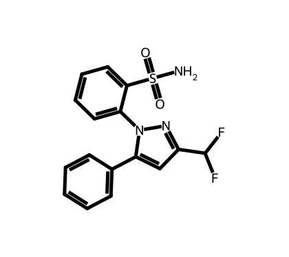 NS(=O)(=O)c1ccccc1-n1nc(C(F)F)cc1-c1ccccc1